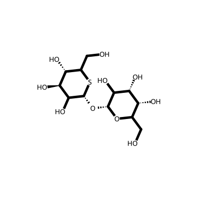 OCC1S[C@H](O[C@H]2OC(CO)[C@@H](O)[C@@H](O)C2O)C(O)[C@@H](O)[C@@H]1O